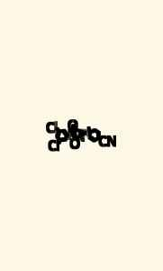 CC1([C@H]2C3C(=O)N(c4cc(Cl)cc(Cl)c4)C(=O)[C@]32C)C=CC(C#N)=CC1